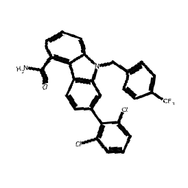 NC(=O)c1cccc2c1c1[c]cc(-c3c(Cl)cccc3Cl)cc1n2Cc1ccc(C(F)(F)F)cc1